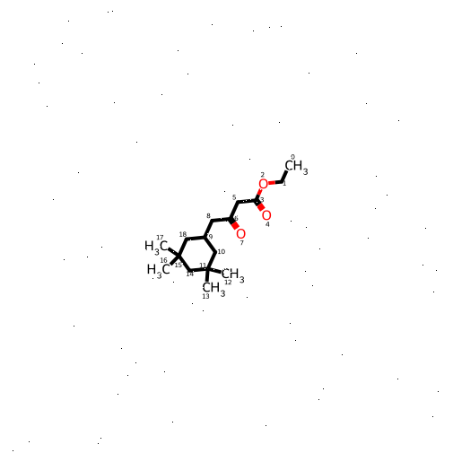 CCOC(=O)CC(=O)CC1CC(C)(C)CC(C)(C)C1